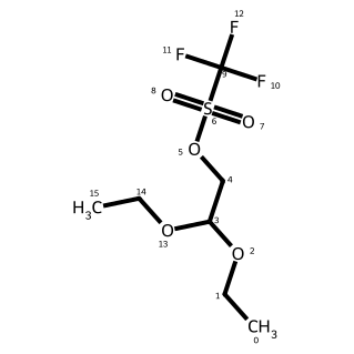 CCOC(COS(=O)(=O)C(F)(F)F)OCC